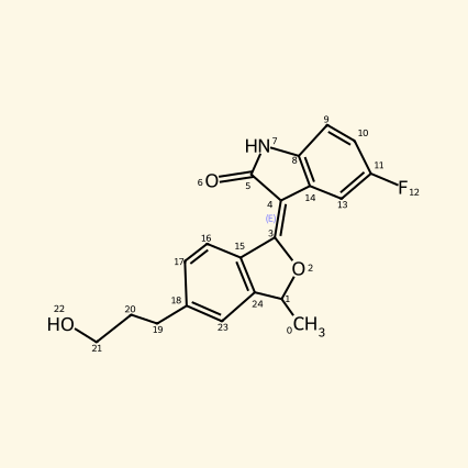 CC1O/C(=C2/C(=O)Nc3ccc(F)cc32)c2ccc(CCCO)cc21